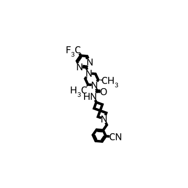 C[C@@H]1CN(c2ncc(C(F)(F)F)cn2)C[C@H](C)N1C(=O)NC1CC2(C1)CN(Cc1ccccc1C#N)C2